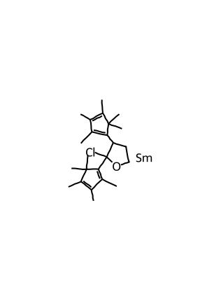 CC1=C(C)C(C)(C)C(C2CCOC2(Cl)C2=C(C)C(C)=C(C)C2(C)C)=C1C.[Sm]